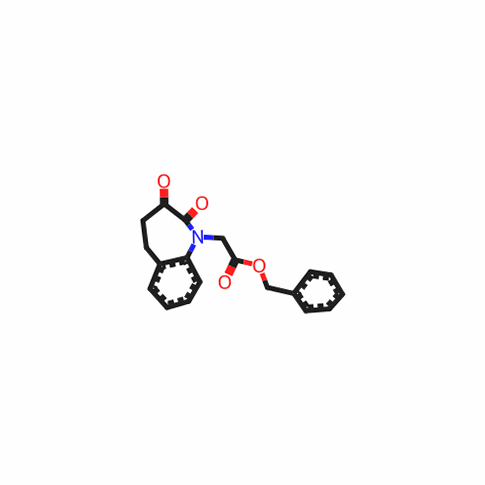 O=C(CN1C(=O)C(=O)CCc2ccccc21)OCc1ccccc1